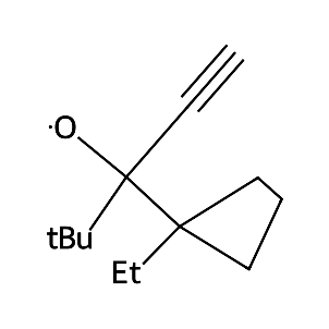 C#CC([O])(C(C)(C)C)C1(CC)CCC1